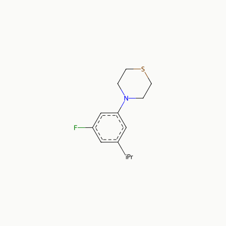 CC(C)c1cc(F)cc(N2CCSCC2)c1